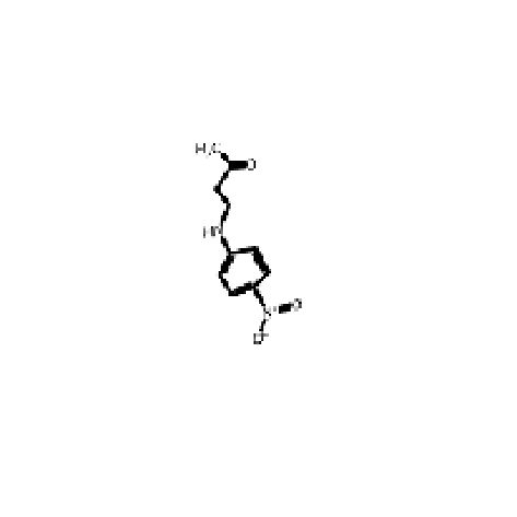 CC(=O)CCNc1ccc([N+](=O)[O-])cc1